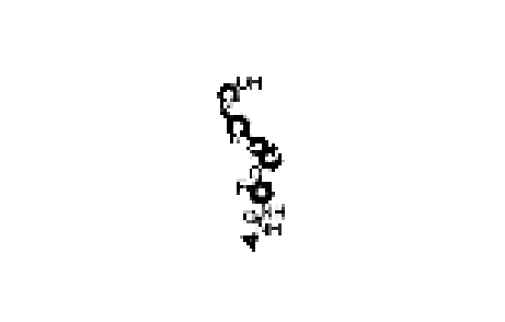 O=C(Nc1ccc(Oc2ccnc3cc(-c4ccc(CN5CC[C@@H](O)C5)cn4)sc23)c(F)c1)NC1CC1